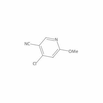 COc1cc(Cl)c(C#N)cn1